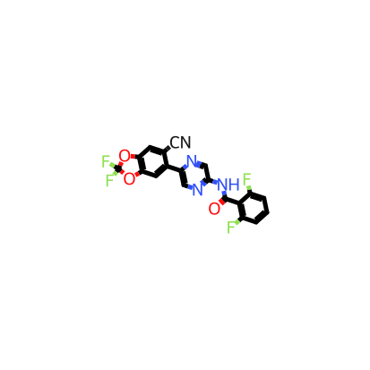 N#Cc1cc2c(cc1-c1cnc(NC(=O)c3c(F)cccc3F)cn1)OC(F)(F)O2